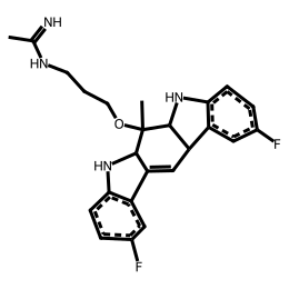 CC(=N)NCCCOC1(C)C2Nc3ccc(F)cc3C2=CC2c3cc(F)ccc3NC21